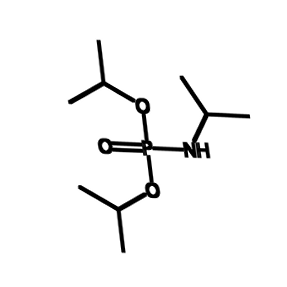 CC(C)NP(=O)(OC(C)C)OC(C)C